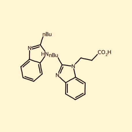 CCCCc1nc2ccccc2[nH]1.CCCCc1nc2ccccc2n1CCC(=O)O